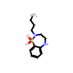 O=S1(=O)c2ccccc2NCCN1CCCC(F)(F)F